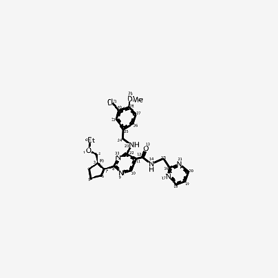 CCOC[C@@H]1CCCC1c1ncc(C(=O)NCc2ncccn2)c(NCc2ccc(OC)c(Cl)c2)n1